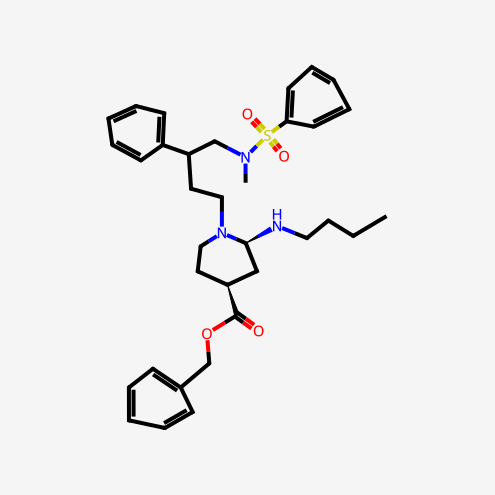 CCCCN[C@H]1C[C@@H](C(=O)OCc2ccccc2)CCN1CCC(CN(C)S(=O)(=O)c1ccccc1)c1ccccc1